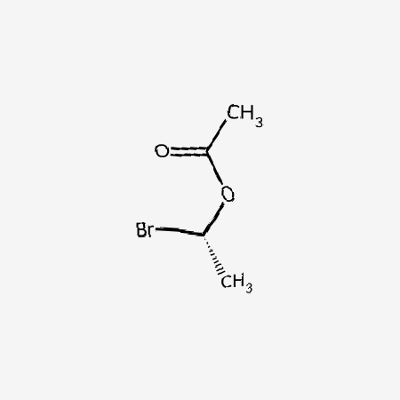 CC(=O)O[C@H](C)Br